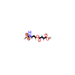 COC(=O)/C=C/C(=O)OCCCNS(C)(=O)=O